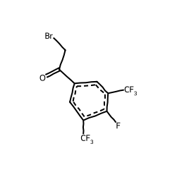 O=C(CBr)c1cc(C(F)(F)F)c(F)c(C(F)(F)F)c1